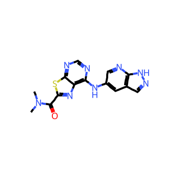 CN(C)C(=O)c1nc2c(Nc3cnc4[nH]ncc4c3)ncnc2s1